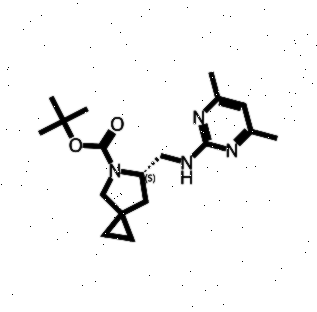 Cc1cc(C)nc(NC[C@@H]2CC3(CC3)CN2C(=O)OC(C)(C)C)n1